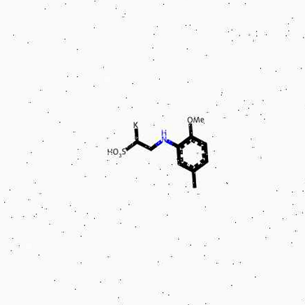 COc1ccc(C)cc1NC[CH]([K])S(=O)(=O)O